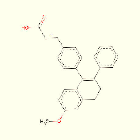 COc1ccc2c(c1)CCC(c1ccccc1)=C2c1ccc(/C=C/C(=O)O)cc1